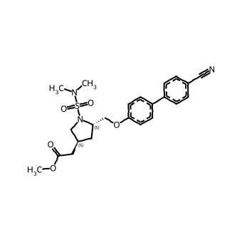 COC(=O)C[C@@H]1C[C@@H](COc2ccc(-c3ccc(C#N)cc3)cc2)N(S(=O)(=O)N(C)C)C1